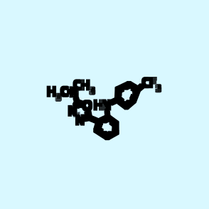 CN(C)c1nnc(-c2ccccc2Nc2ccc(C(F)(F)F)cc2)o1